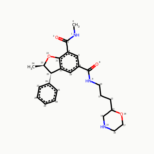 CNC(=O)c1cc(C(=O)NCCCC2CNCCO2)cc2c1O[C@H](C)[C@H]2c1ccccc1